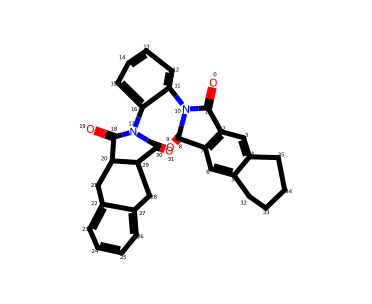 O=C1c2cc3c(cc2C(=O)N1c1ccccc1N1C(=O)C2Cc4ccccc4CC2C1=O)CCCC3